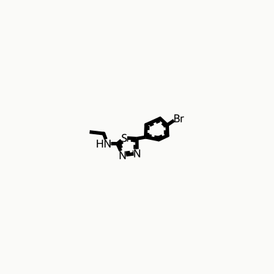 CCNc1nnc(-c2ccc(Br)cc2)s1